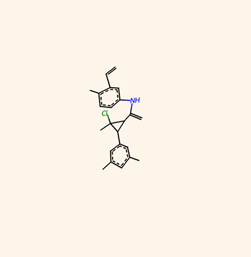 C=Cc1cc(NC(=C)C2C(c3cc(C)cc(C)c3)C2(C)Cl)ccc1C